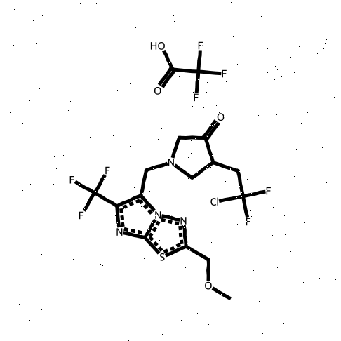 COCc1nn2c(CN3CC(=O)C(CC(F)(F)Cl)C3)c(C(F)(F)F)nc2s1.O=C(O)C(F)(F)F